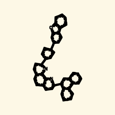 c1ccc2c(c1)cc(-c1ccc3ccc4ccc(-c5ccc(-c6ccc7c(c6)oc6ccccc67)cc5)nc4c3n1)c1ccccc12